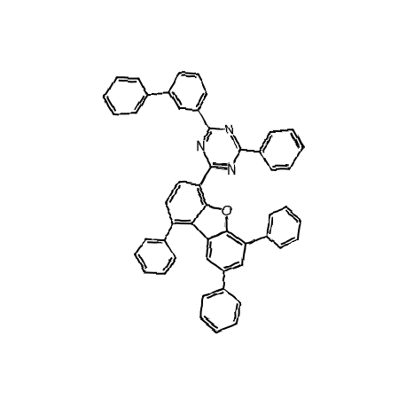 c1ccc(-c2cccc(-c3nc(-c4ccccc4)nc(-c4ccc(-c5ccccc5)c5c4oc4c(-c6ccccc6)cc(-c6ccccc6)cc45)n3)c2)cc1